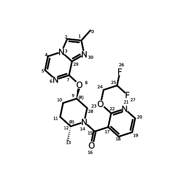 Cc1cn2ccnc(O[C@@H]3CC[C@@H](C)N(C(=O)c4cccnc4OCC(F)F)C3)c2n1